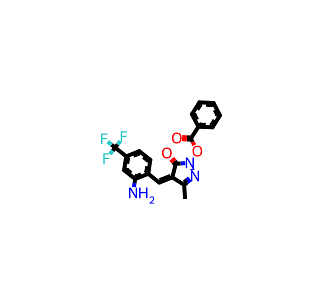 CC1=NN(OC(=O)c2ccccc2)C(=O)C1=Cc1ccc(C(F)(F)F)cc1N